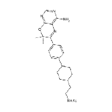 CC(=O)NCCC1CCC(c2ccc(C3=Nc4c(N)ncnc4OC3(C)C)cc2)CC1